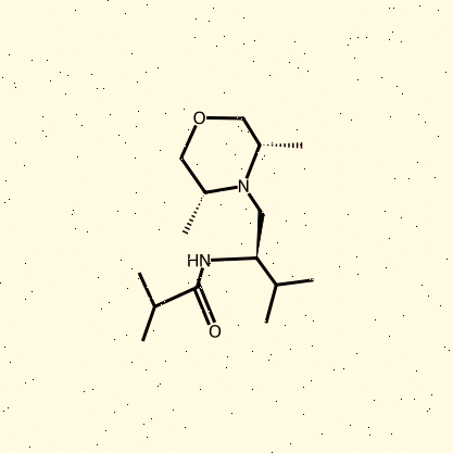 CC(C)C(=O)N[C@@H](CN1[C@H](C)COC[C@@H]1C)C(C)C